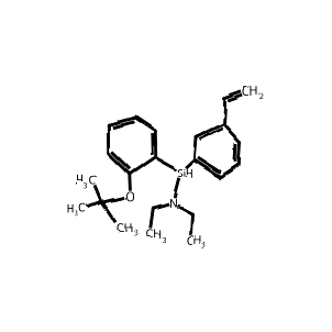 C=Cc1cccc([SiH](c2ccccc2OC(C)(C)C)N(CC)CC)c1